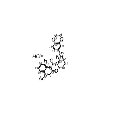 CC(=O)N1CC(=O)N(C(C)N2CCCCC2NCc2ccc3c(c2)OCCO3)c2ccccc21.Cl